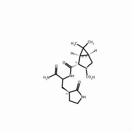 CC1(C)[C@@H]2[C@@H](C(=O)NC(C[C@@H]3CCNC3=O)C(N)=O)N(C(=O)O)C[C@@H]21